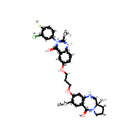 COc1cc2c(cc1OCCCOc1ccc3nc(C)n(-c4ccc(F)c(Cl)c4)c(=O)c3c1)N=C[C@@H]1CCCN1C2=O